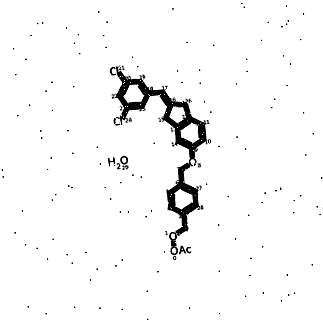 CC(=O)OOCc1ccc(COc2ccc3c(c2)C/C(=C\c2cc(Cl)cc(Cl)c2)C3)cc1.O